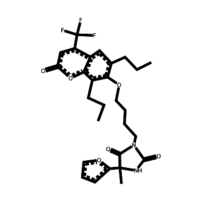 CCCc1cc2c(C(F)(F)F)cc(=O)oc2c(CCC)c1OCCCCN1C(=O)NC(C)(c2ccco2)C1=O